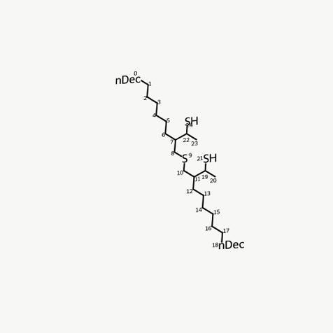 CCCCCCCCCCCCCCCCC(CSCC(CCCCCCCCCCCCCCCC)C(C)S)C(C)S